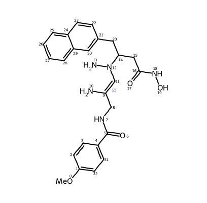 COc1ccc(C(=O)NC/C(N)=C/N(N)C(CC(=O)NO)Cc2ccc3ccccc3c2)cc1